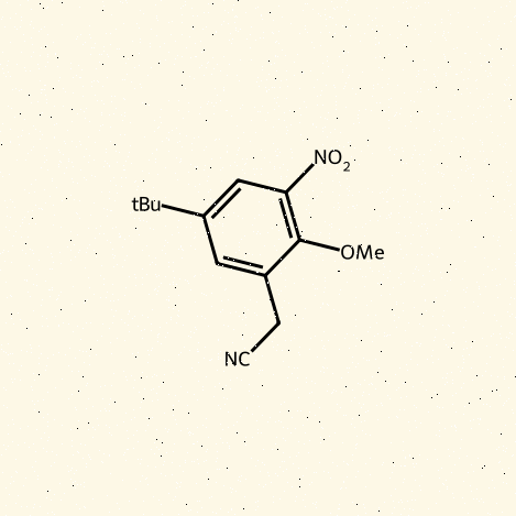 COc1c(CC#N)cc(C(C)(C)C)cc1[N+](=O)[O-]